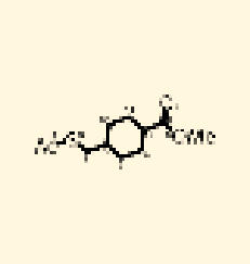 COC(=O)C1CCC(CSC(C)=O)CC1